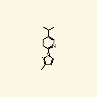 Cc1ccn(C2=NC=C(C(C)C)CC2)n1